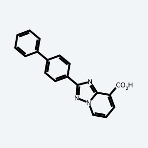 O=C(O)c1cccn2nc(-c3ccc(-c4ccccc4)cc3)nc12